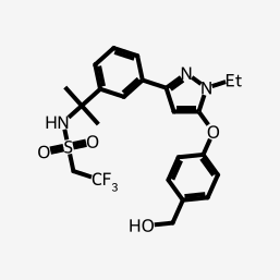 CCn1nc(-c2cccc(C(C)(C)NS(=O)(=O)CC(F)(F)F)c2)cc1Oc1ccc(CO)cc1